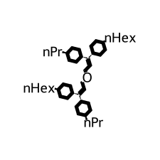 CCCCCC[C@H]1CC[C@H](C(=CCOCC=C([C@H]2CC[C@H](CCC)CC2)[C@H]2CC[C@H](CCCCCC)CC2)[C@H]2CC[C@H](CCC)CC2)CC1